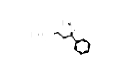 O=C(O)CC/C(=N\O)c1ccccc1